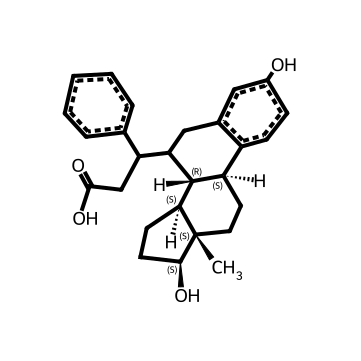 C[C@]12CC[C@@H]3c4ccc(O)cc4CC(C(CC(=O)O)c4ccccc4)[C@H]3[C@@H]1CC[C@@H]2O